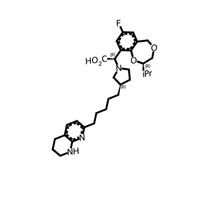 CC(C)[C@@H]1COCc2cc(F)cc([C@H](C(=O)O)N3CC[C@@H](CCCCCc4ccc5c(n4)NCCC5)C3)c2O1